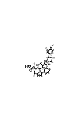 COc1ccc([C@H]2CC[C@H](CN(c3cc(-c4cnc(C(C)C)s4)ccn3)C(=O)[C@H]3CC[C@H](CNC(=O)O)CC3)CC2)nc1C